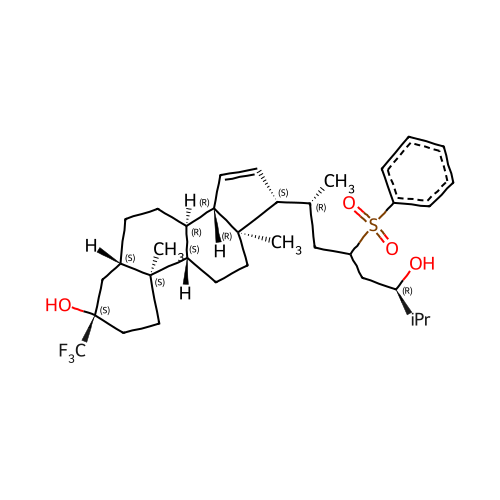 CC(C)[C@H](O)CC(C[C@@H](C)[C@H]1C=C[C@H]2[C@@H]3CC[C@H]4C[C@](O)(C(F)(F)F)CC[C@]4(C)[C@H]3CC[C@]12C)S(=O)(=O)c1ccccc1